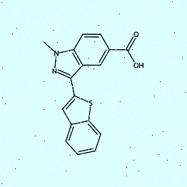 Cn1nc(-c2cc3ccccc3s2)c2cc(C(=O)O)ccc21